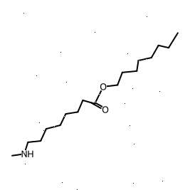 CCCCCCCCOC(=O)CCCCCCCNC